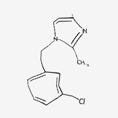 Cc1n[c]cn1Cc1cccc(Cl)c1